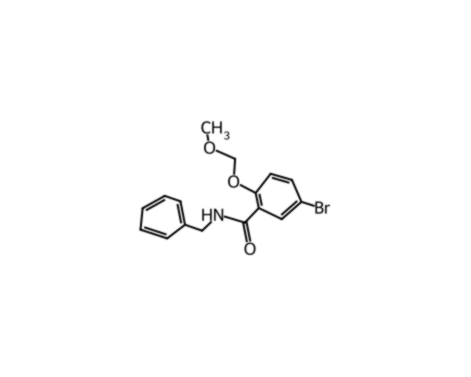 COCOc1ccc(Br)cc1C(=O)NCc1ccccc1